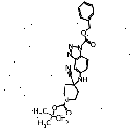 CC(C)(C)OC(=O)N1CCC(C#N)(Nc2ccc3c(c2)nnn3C(=O)OCc2ccccc2)CC1